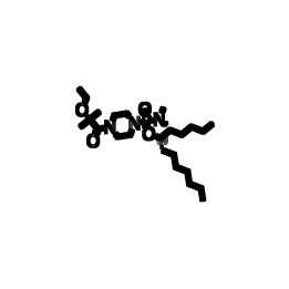 CCCCCCC[C@@H](CCCCC)OP(=O)(N(C)C)N1CCN(C(=O)C(C)(C)OCC)CC1